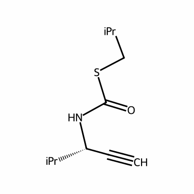 C#C[C@@H](NC(=O)SCC(C)C)C(C)C